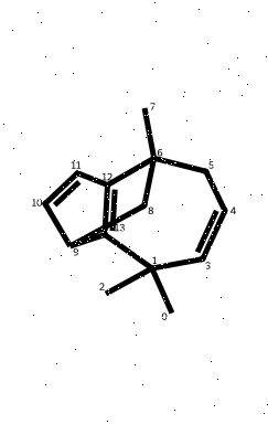 CC1(C)C=CCC2(C)CC3C=CC2=C31